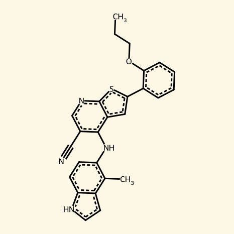 CCCOc1ccccc1-c1cc2c(Nc3ccc4[nH]ccc4c3C)c(C#N)cnc2s1